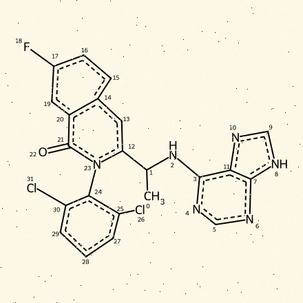 CC(Nc1ncnc2[nH]cnc12)c1cc2ccc(F)cc2c(=O)n1-c1c(Cl)cccc1Cl